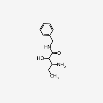 CCC(N)C(O)C(=O)NCc1ccccc1